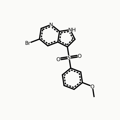 COc1cccc(S(=O)(=O)c2c[nH]c3ncc(Br)cc23)c1